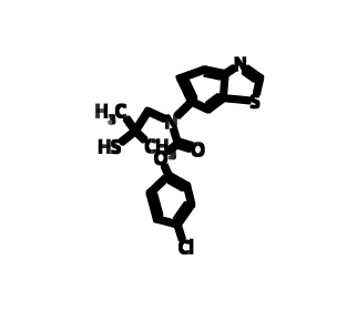 CC(C)(S)CN(C(=O)Oc1ccc(Cl)cc1)c1ccc2ncsc2c1